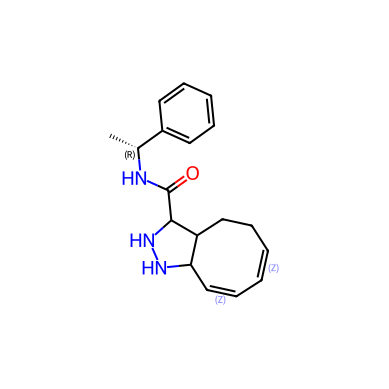 C[C@@H](NC(=O)C1NNC2/C=C\C=C/CCC21)c1ccccc1